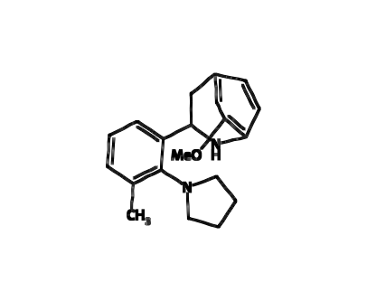 COc1cc2ccc1NC(c1cccc(C)c1N1CCCC1)C2